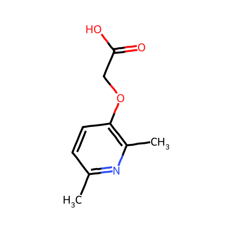 Cc1ccc(OCC(=O)O)c(C)n1